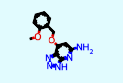 COc1ccccc1COc1cc(N)nc2[nH]nnc12